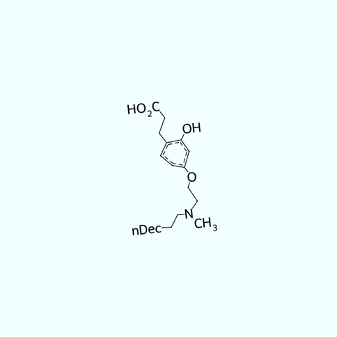 CCCCCCCCCCCCN(C)CCOc1ccc(CCC(=O)O)c(O)c1